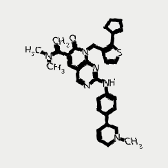 C=C(c1cc2cnc(Nc3ccc(C4C=CCN(C)C4)cc3)nc2n(Cc2ccsc2C2=CCCC2)c1=O)N(C)C